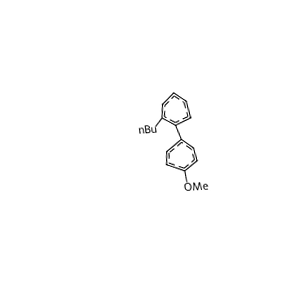 CCCCc1ccccc1-c1ccc(OC)cc1